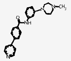 CN1CCN(c2cccc(NC(=O)c3ccc(-c4ccncc4)cc3)c2)CC1